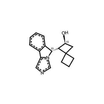 O[C@H]1CC2(CCC2)C1[C@H]1c2ccccc2-c2cncn21